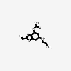 CCCNC1Cc2sc(C=O)nc2C(NC(=O)O)C1